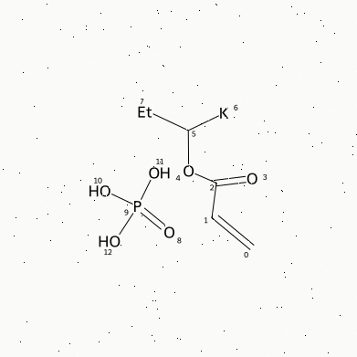 C=CC(=O)O[CH]([K])CC.O=P(O)(O)O